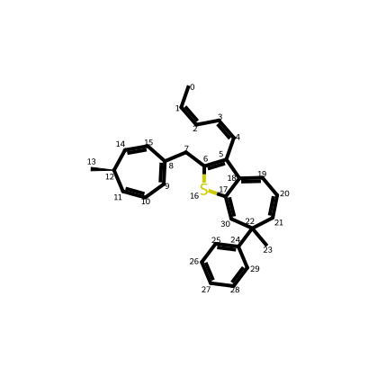 C/C=C\C=C/c1c(CC2=CC=C[C@@H](C)C=C2)sc2c1=CC=CC(C)(c1ccccc1)C=2